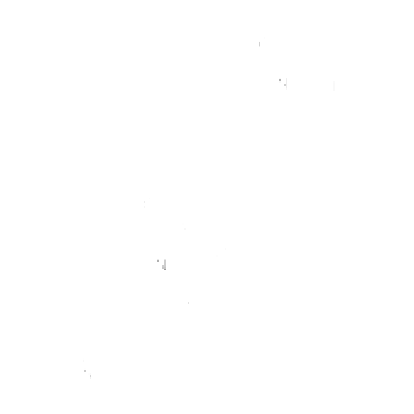 CN(C)c1ccc(S(=O)(=O)N2CCC(N)CC2)cc1